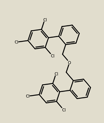 Clc1cc(Cl)c(-c2ccccc2COCc2ccccc2-c2c(Cl)cc(Cl)cc2Cl)c(Cl)c1